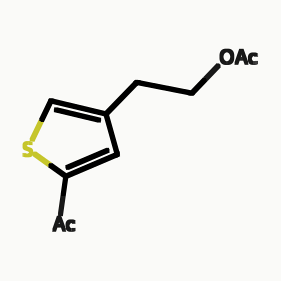 CC(=O)OCCc1csc(C(C)=O)c1